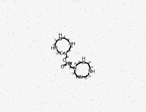 O=[PH](OCN1CCNCCNCCNCC1)OCN1CCNCCNCCNCC1